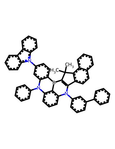 CC1(C)C2=C(c3ccc4ccccc4c31)N(c1cccc(-c3ccccc3)c1)c1cccc3c1B2c1ccc(-n2c4ccccc4c4ccccc42)cc1N3c1ccccc1